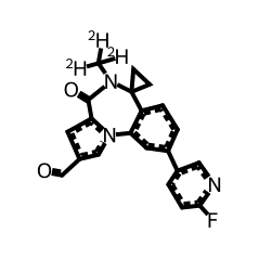 [2H]C([2H])([2H])N1C(=O)c2cc(C=O)cn2-c2cc(-c3ccc(F)nc3)ccc2C12CC2